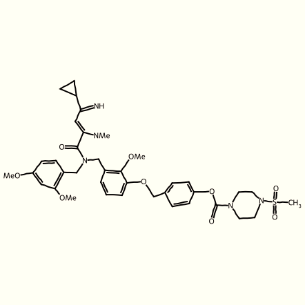 CN/C(=C\C(=N)C1CC1)C(=O)N(Cc1ccc(OC)cc1OC)Cc1cccc(OCc2ccc(OC(=O)N3CCN(S(C)(=O)=O)CC3)cc2)c1OC